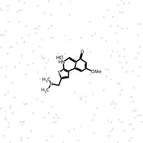 COc1cc2c3cc(CN(C)C)sc3[nH]cc-2c(=O)c1.Cl